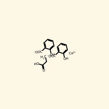 CCC(=O)O.O=C([O-])c1ccccc1O.O=C([O-])c1ccccc1O.[Ca+2]